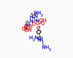 CC1(C)[C@H](NC(=O)/C(=N\O[C@@H](COc2ccc(-c3cn(CCCN)nc3N)cc2)C(=O)O)c2csc(N)n2)C(=O)N1OS(=O)(=O)O